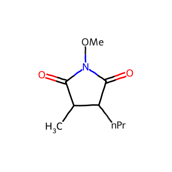 CCCC1C(=O)N(OC)C(=O)C1C